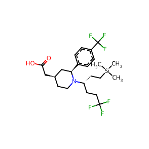 C[Si](C)(C)CC[C@H](CCC(F)(F)F)N1CC[C@@H](CC(=O)O)C[C@H]1c1ccc(C(F)(F)F)cc1